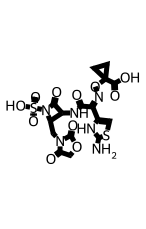 NC1NC(/C(=N/OC2(C(=O)O)CC2)C(=O)NC2C(=O)N(S(=O)(=O)O)C2CN2C(=O)COC2=O)=CS1